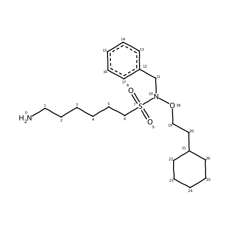 NCCCCCCS(=O)(=O)N(Cc1ccccc1)OCCC1CCCCC1